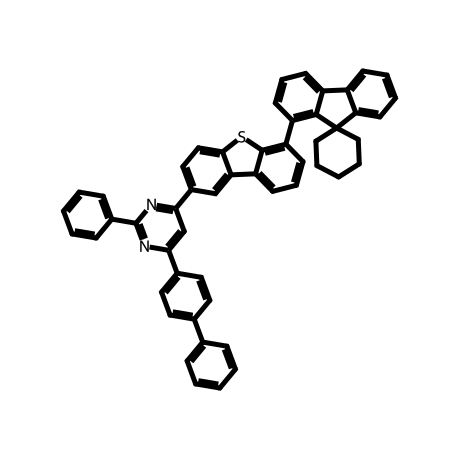 c1ccc(-c2ccc(-c3cc(-c4ccc5sc6c(-c7cccc8c7C7(CCCCC7)c7ccccc7-8)cccc6c5c4)nc(-c4ccccc4)n3)cc2)cc1